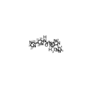 Cn1nccc1-c1ncnc2c1cnn2CC(=O)Nc1ccc(-c2cnccn2)cn1